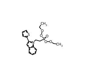 CCOOP(=O)(CCn1c(-c2cccs2)cc2ccccc21)OOCC